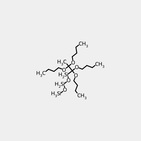 CCCCOC(C)(OCCCC)C(OCCCC)(OCCCC)[SiH2]O[SiH2]O[SiH3]